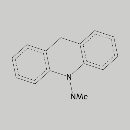 CNN1c2ccccc2Cc2ccccc21